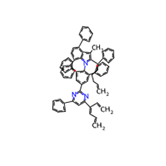 C=C/C=C(\C=C)c1cc(-c2ccccc2)nc(-c2cc(-c3ccccc3)c(-n3c(/C(=C\CCC=C)c4ccccc4)c(C)c4c(-c5ccccc5)ccc(-c5ccccc5)c43)c(-c3ccccc3)c2)n1